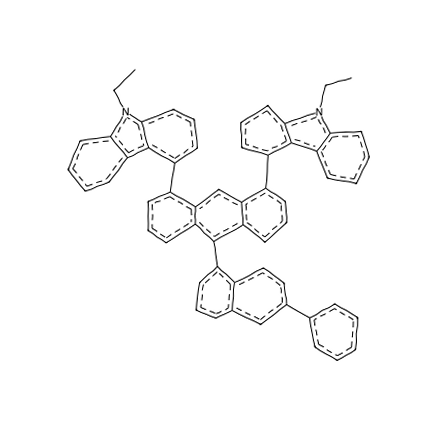 CCn1c2ccccc2c2c(-c3cccc4c(-c5cccc6cc(-c7ccccc7)ccc56)c5cccc(-c6cccc7c6c6ccccc6n7CC)c5cc34)cccc21